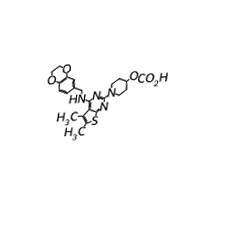 Cc1sc2nc(N3CCC(OC(=O)O)CC3)nc(NCc3ccc4c(c3)OCCO4)c2c1C